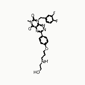 Cn1c(=O)c2nc(-c3ccc(OCCCNCCO)cc3)nnc2n(Cc2ccc(F)c(F)c2)c1=O